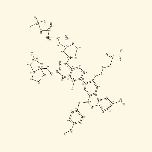 COC(=O)CCCCc1ccc(N(Cc2ccc(OC)cc2)Cc2ccc(OC)cc2)cc1-c1ncc2c(N3CCCC(O)(CCNC(=O)OC(C)(C)C)C3)nc(OC[C@@]34CCCN3C[C@H](F)C4)nc2c1F